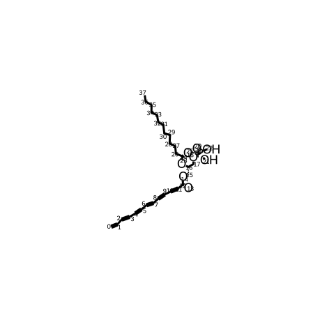 C#CC#CC#CC#CC#CC#CC(=O)OC[C@@H](COP(=O)(O)O)OC(=O)CCCCCCCCCCCC